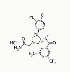 CN(C(=O)c1cc(C(F)(F)F)cc(C(F)(F)F)c1)[C@@H]1CN(CC(N)=O)C[C@H]1c1ccc(Cl)c(Cl)c1.Cl